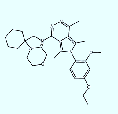 CCOc1ccc(-n2c(C)c3c(C)nnc(NCC4(N5CCOCC5)CCCCC4)c3c2C)c(OC)c1